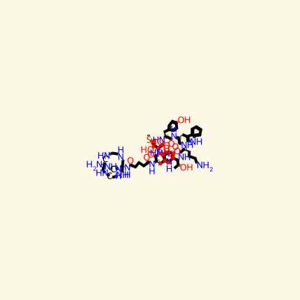 CSSC[C@H](NC(=O)[C@@H](Cc1ccccc1)NC(=O)CCCC(=O)N[C@]12CNCCNC[C@](N)(CNCCNC1)NCCN2)C(=O)N[C@@H](Cc1ccc(O)cc1)C(=O)N[C@H](Cc1c[nH]c2ccccc12)C(=O)N[C@@H](CCCCN)C(=O)NC(C(=O)N[C@@H](C)C(=O)NC(C(=O)O)C(C)O)C(C)O